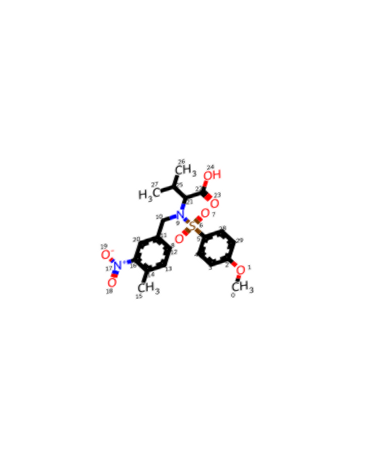 COc1ccc(S(=O)(=O)N(Cc2ccc(C)c([N+](=O)[O-])c2)C(C(=O)O)C(C)C)cc1